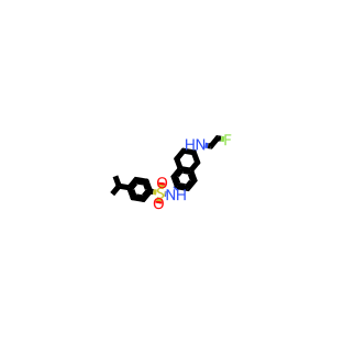 CC(C)c1ccc(S(=O)(=O)Nc2ccc3c(c2)CC[C@H](NCCF)C3)cc1